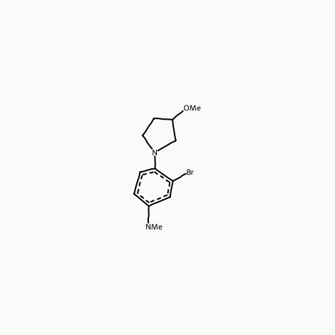 CNc1ccc(N2CCC(OC)C2)c(Br)c1